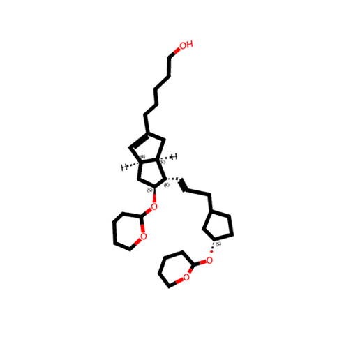 OCCCCCC1=C[C@@H]2C[C@H](OC3CCCCO3)[C@@H](C=CCC3CC[C@H](OC4CCCCO4)C3)[C@@H]2C1